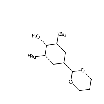 CC(C)(C)C1CC(C2OCCCO2)CC(C(C)(C)C)C1O